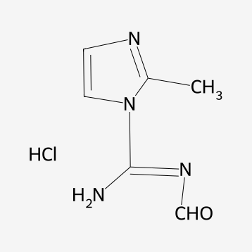 Cc1nccn1C(N)=NC=O.Cl